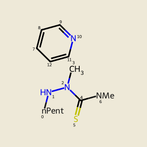 CCCCCNN(C)C(=S)NC.c1ccncc1